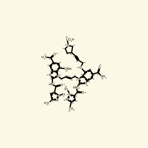 CCn1nc(C)cc1C(=O)Nc1nc2cc(C(N)=O)cc(OC)c2n1C/C=C/Cn1c(NC(=O)c2cc(C)nn2CC)nc2cc(C(N)=O)cc(OCC#CC3CCN(C(=O)O)C3)c21